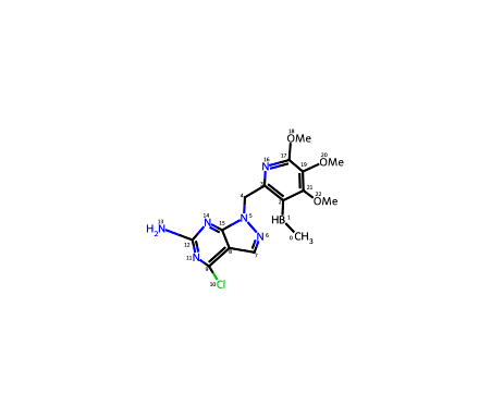 CBc1c(Cn2ncc3c(Cl)nc(N)nc32)nc(OC)c(OC)c1OC